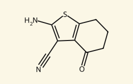 N#Cc1c(N)sc2c1C(=O)CCC2